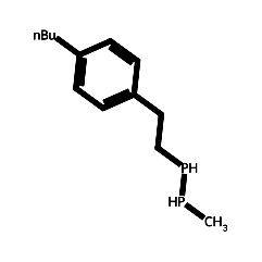 CCCCc1ccc(CCPPC)cc1